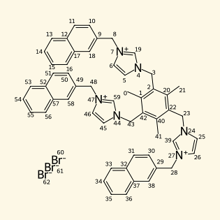 Cc1c(Cn2cc[n+](Cc3ccc4ccccc4c3)c2)c(C)c(Cn2cc[n+](Cc3ccc4ccccc4c3)c2)c(C)c1Cn1cc[n+](Cc2ccc3ccccc3c2)c1.[Br-].[Br-].[Br-]